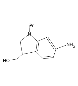 CC(C)N1CC(CO)c2ccc(N)cc21